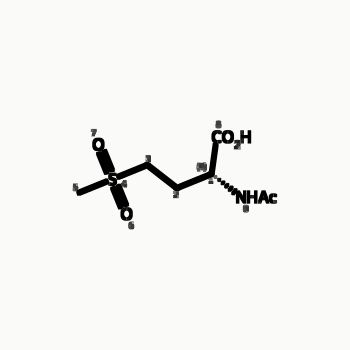 CC(=O)N[C@H](CCS(C)(=O)=O)C(=O)O